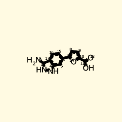 NC1NNc2cc(-c3ccc(C(=O)O)o3)ccc21